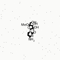 CO[C@]1(CO)O[C@@H](n2ccc(N)nc2=O)[C@@](O)(F)[C@@H]1O